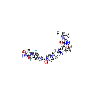 [2H]C([2H])([2H])Oc1cc2nn(C3CCC(N4CCN(C(=O)C5CN(c6cc(F)c(N7CCC(=O)NC7=O)c(F)c6)C5)CC4)CC3)cc2cc1NC(=O)c1cccc(C(F)(F)F)n1